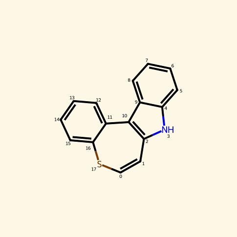 C1=Cc2[nH]c3ccccc3c2-c2ccccc2S1